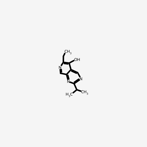 CCc1ncc2nc(C(C)C)ncc2c1O